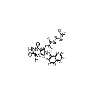 CC(Cc1c2c(=O)[nH]c(=O)[nH]c2cn1Cc1cccc2ccccc12)C(C)SCCN(C)C